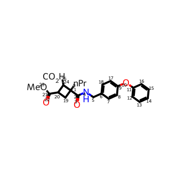 CCCC1(C(=O)NCc2ccc(Oc3ccccc3)cc2)CC(C(=O)OC)C1C(=O)O